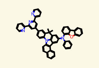 CC1(C)c2cc(-c3cc(-c4ccccn4)nc(-c4ccccn4)c3)ccc2-n2c3ccc4ccccc4c3c3cc(N(c4ccccc4)c4cccc5c4oc4ccccc45)cc1c32